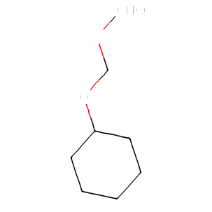 O=[C]OCOC1CCCCC1